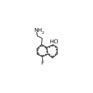 Cl.NCCc1ccc(F)c2ccccc12